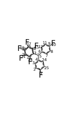 Fc1ccc([C](c2ccc(F)cc2)c2c(F)c(F)c(F)c(F)c2F)cc1